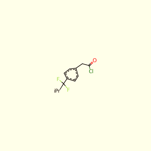 CC(C)C(F)(F)c1ccc(CC(=O)Cl)cc1